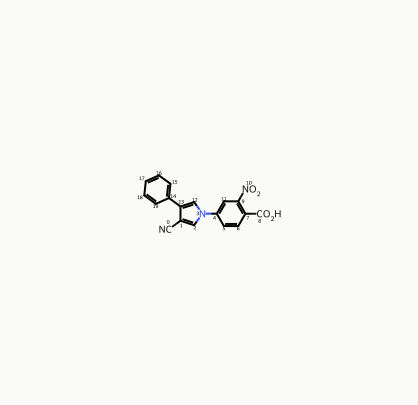 N#Cc1cn(-c2ccc(C(=O)O)c([N+](=O)[O-])c2)cc1-c1ccccc1